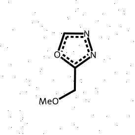 COCc1nn[c]o1